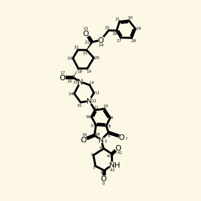 O=C1CCC(N2C(=O)c3ccc(N4CCN(C(=O)[C@H]5CC[C@H](C(=O)OCc6ccccc6)CC5)CC4)cc3C2=O)C(=O)N1